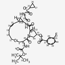 CC(C)(C)OC(=O)N[C@H]1CCCCC/C=C\[C@@H]2C[C@@]2(C(=O)NS(=O)(=O)C2CC2)NC(=O)[C@@H]2C[C@@H](OC(=O)c3cccc(F)c3)CN2C1=O